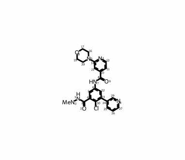 CNNC(=O)c1cc(NC(=O)c2ccnc(N3CCOCC3)c2)cc(-c2cccnc2)c1Cl